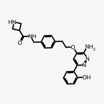 Nc1nnc(-c2ccccc2O)cc1OCCc1ccc(CNC(=O)C2CNC2)cc1